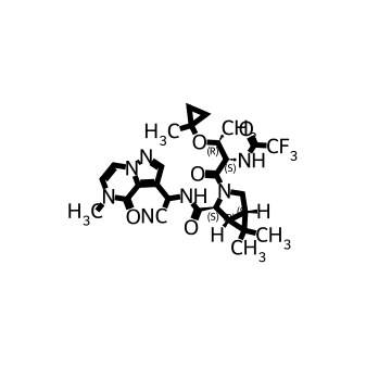 C[C@@H](OC1(C)CC1)[C@H](NC(=O)C(F)(F)F)C(=O)N1C[C@H]2[C@@H]([C@H]1C(=O)NC(C#N)c1cnn3ccn(C)c(=O)c13)C2(C)C